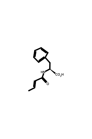 CC=CC(=O)N[C@@H](Cc1ccccc1)C(=O)O